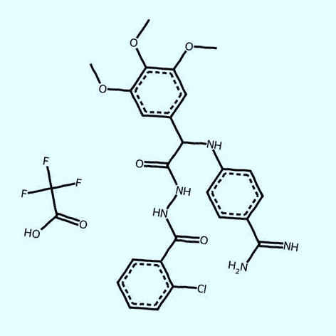 COc1cc(C(Nc2ccc(C(=N)N)cc2)C(=O)NNC(=O)c2ccccc2Cl)cc(OC)c1OC.O=C(O)C(F)(F)F